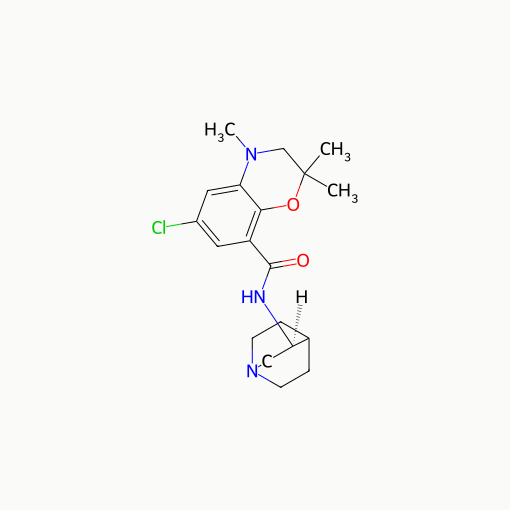 CN1CC(C)(C)Oc2c(C(=O)N[C@@H]3CN4CCC3CC4)cc(Cl)cc21